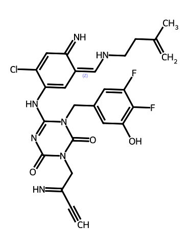 C#CC(=N)Cn1c(=O)nc(NC2=C/C(=C/NCCC(=C)C)C(=N)C=C2Cl)n(Cc2cc(O)c(F)c(F)c2)c1=O